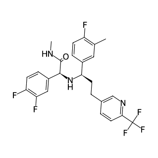 CNC(=O)[C@@H](N[C@H](CCc1ccc(C(F)(F)F)nc1)c1ccc(F)c(C)c1)c1ccc(F)c(F)c1